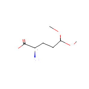 COC(CC[C@@H](N)C(=O)O)OC